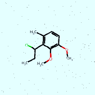 CCC(Cl)c1c(C)ccc(OC)c1OC